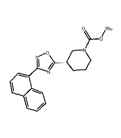 CC(C)(C)OC(=O)N1CCC[C@H](c2nc(-c3cccc4ccccc34)no2)C1